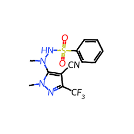 CN(NS(=O)(=O)c1ccccc1)c1c(C#N)c(C(F)(F)F)nn1C